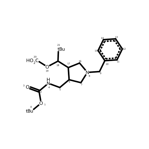 CC(C)(C)OC(=O)NCC1CN(Cc2ccccc2)CC1C(OC(=O)O)C(C)(C)C